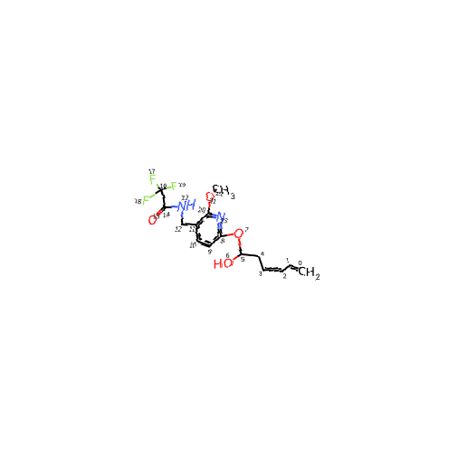 C=C/C=C\CC(O)Oc1ccc(CNC(=O)C(F)(F)F)c(OC)n1